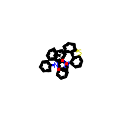 c1ccc(N2c3ccccc3N(c3cccc4sc5cccc(B6c7ccccc7-c7ccccc76)c5c34)c3ccccc32)cc1